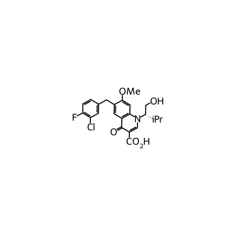 COc1cc2c(cc1Cc1ccc(F)c(Cl)c1)c(=O)c(C(=O)O)cn2[C@H](CO)C(C)C